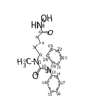 CN(CCCCC(=O)NO)C(=O)N(c1ccccc1)c1ccccc1